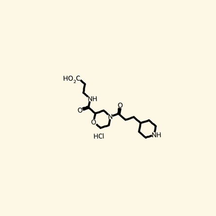 Cl.O=C(O)CCNC(=O)C1CN(C(=O)CCC2CCNCC2)CCO1